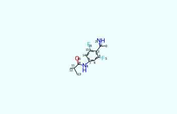 CC(=N)c1c(F)cc(NC(=O)C(C)C)cc1F